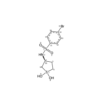 O=S(=O)(N[C@H]1CCS(O)(O)C1)c1ccc(Br)cc1